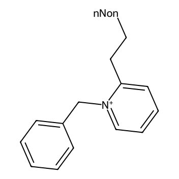 CCCCCCCCCCCc1cccc[n+]1Cc1ccccc1